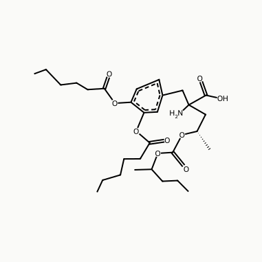 CCCCCC(=O)Oc1ccc(CC(N)(C[C@H](C)OC(=O)OC(C)CCC)C(=O)O)cc1OC(=O)CCCCC